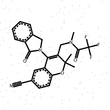 CN(CC1=C(N2Cc3ccccc3C2=O)c2cc(C#N)ccc2OC1(C)C)C(=O)C(F)(F)F